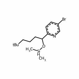 C[SiH](C)OC(CCCC(C)(C)C)c1ccc(Br)cn1